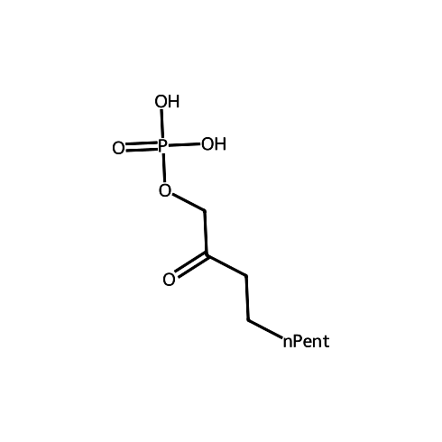 CCCCCCCC(=O)COP(=O)(O)O